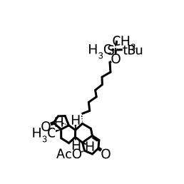 CC(=O)O[C@H]1CC(=O)C=C2C[C@@H](CCCCCCCCCO[Si](C)(C)C(C)(C)C)[C@@H]3[C@H](CC[C@]4(C)C(=O)CC[C@@H]34)[C@H]21